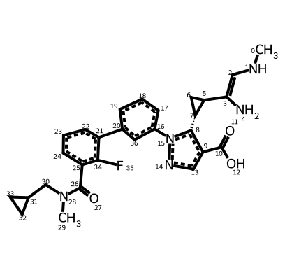 CN/C=C(\N)C1C[C@H]1c1c(C(=O)O)cnn1-c1cccc(-c2cccc(C(=O)N(C)CC3CC3)c2F)c1